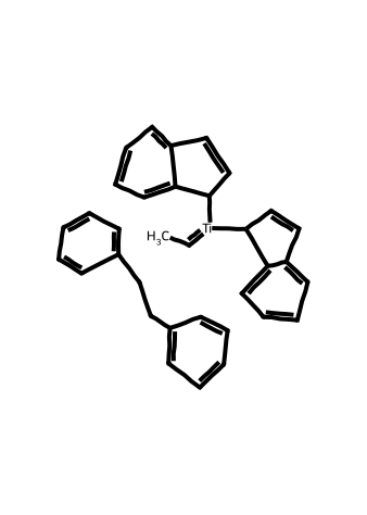 C[CH]=[Ti]([CH]1C=Cc2ccccc21)[CH]1C=Cc2ccccc21.c1ccc(CCc2ccccc2)cc1